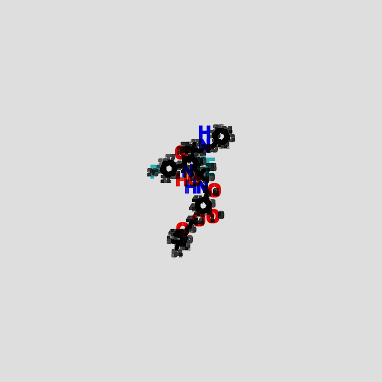 COc1cc(C(=O)NCC(O)(c2cc3c(c(-c4ccc(F)cc4)n2)OC[C@]3(C)CNCc2ccccc2)C(F)(F)F)ccc1OCCO[Si](C)(C)C(C)(C)C